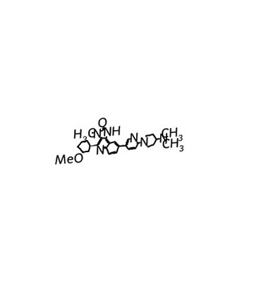 CO[C@@H]1CCC[C@@H](c2nc3ccc(-c4ccc(N5CCC(N(C)C)CC5)nc4)cc3c3[nH]c(=O)n(C)c23)C1